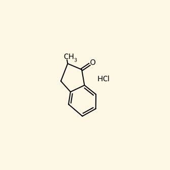 CC1Cc2ccccc2C1=O.Cl